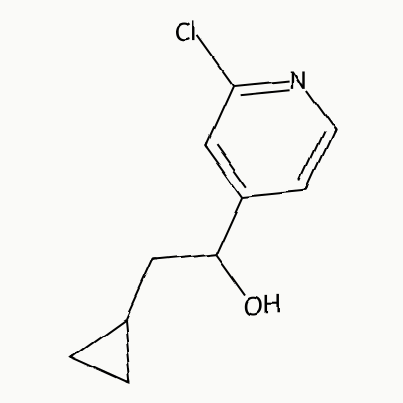 OC(CC1CC1)c1ccnc(Cl)c1